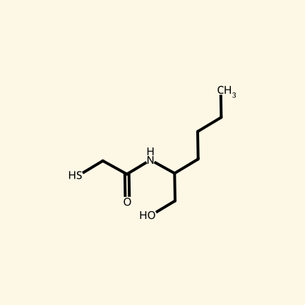 CCCCC(CO)NC(=O)CS